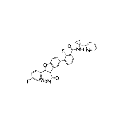 CNC(=O)C1c2cc(-c3cccc(C(=O)NC4(c5ccccn5)CC4)c3F)ccc2OC1c1ccc(F)cc1